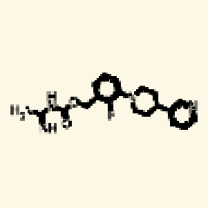 N=C(N)NC(=O)OCc1cccc(N2CCC(c3cccnc3)CC2)c1F